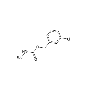 CC(C)(C)NC(=O)OCc1cccc(Cl)c1